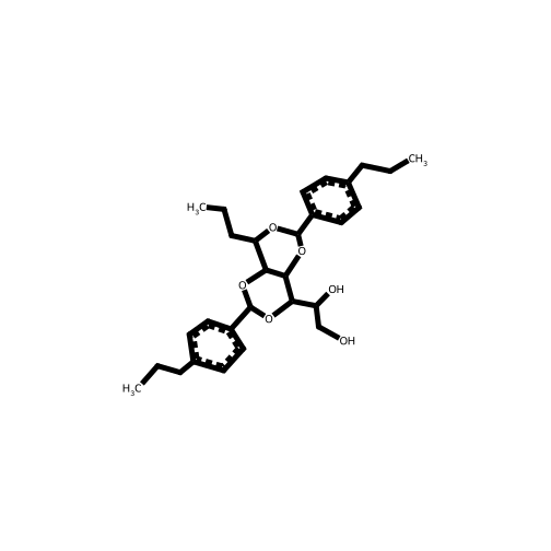 CCCc1ccc(C2OC(C(O)CO)C3OC(c4ccc(CCC)cc4)OC(CCC)C3O2)cc1